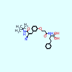 CC(C)(C)NC(=O)C(C#N)=Cc1cccc(OCCC(=O)NC(CCc2ccccc2)B(O)O)c1